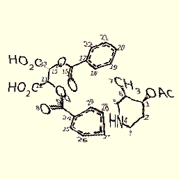 CC(=O)O[C@H]1CCNC[C@H]1C.O=C(O[C@@H](C(=O)O)[C@@H](OC(=O)c1ccccc1)C(=O)O)c1ccccc1